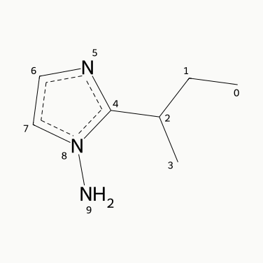 CCC(C)c1nccn1N